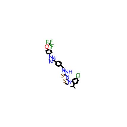 CC(C)c1ccc(Cl)cc1N1CCS/C1=N\C(=S)N/N=C/c1ccc(-c2ncn(-c3ccc(OC(F)(F)F)cc3)n2)cc1